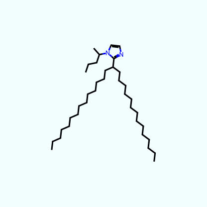 CCCCCCCCCCCCCCC(CCCCCCCCCCCCCC)c1nccn1C(C)CCC